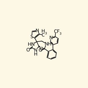 Cc1ncsc1C1(CNC(=O)c2ccccc2-c2ccc(C(F)(F)F)nc2)NC(=O)NC1=O